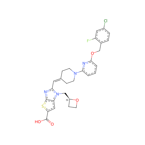 O=C(O)c1cc2c(nc(C=C3CCN(c4cccc(OCc5ccc(Cl)cc5F)n4)CC3)n2C[C@@H]2CCO2)s1